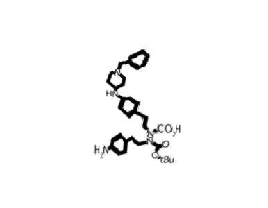 CC(C)(C)OC(=O)N(CCc1ccc(N)cc1)N(CCc1ccc(NC2CCN(Cc3ccccc3)CC2)cc1)C(=O)O